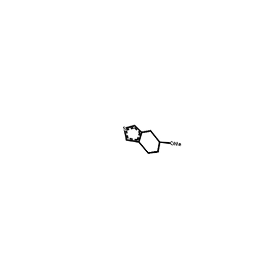 COC1CCc2cscc2C1